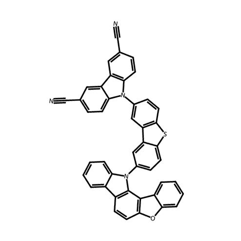 N#Cc1ccc2c(c1)c1cc(C#N)ccc1n2-c1ccc2sc3ccc(-n4c5ccccc5c5ccc6oc7ccccc7c6c54)cc3c2c1